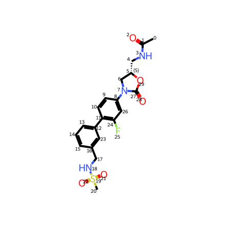 CC(=O)NC[C@H]1CN(c2ccc(-c3cccc(CNS(C)(=O)=O)c3)c(F)c2)C(=O)O1